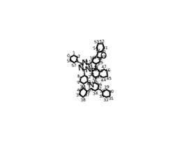 c1ccc(C2=NC(c3ccccc3)NC(c3cc4c(cc3-c3ccc(-c5cc(-c6ccccc6)cc(-c6ccccc6)n5)c5ccccc35)oc3ccccc34)=N2)cc1